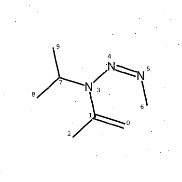 C=C(C)N(/N=N\C)C(C)C